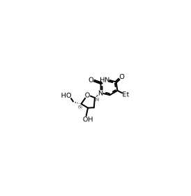 CCc1cn([C@@H]2CC(O)[C@H](CO)O2)c(=O)[nH]c1=O